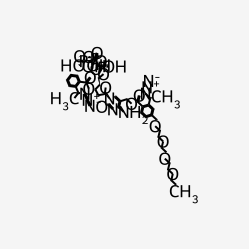 CCCOCCOCCOCCOCc1ccc(C(=O)OCc2cn([C@H]3CC(OC(=O)c4ccccc4C(C)N=[N+]=[N-])[C@@H](COP(=O)(O)OP(=O)(O)OP(=O)(O)O)O3)c(=O)nc2N)c([C@@H](C)N=[N+]=[N-])c1